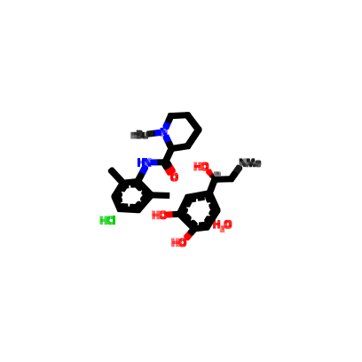 CCCCN1CCCCC1C(=O)Nc1c(C)cccc1C.CNC[C@H](O)c1ccc(O)c(O)c1.Cl.O